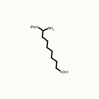 CCCCCCCCCCCCCCCC(N)C(C)CCC